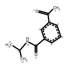 CC(=O)c1cccc(C(=O)NC(C)C)c1